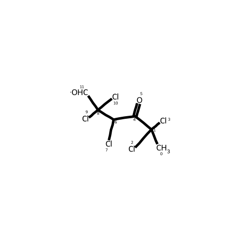 CC(Cl)(Cl)C(=O)C(Cl)C(Cl)(Cl)[C]=O